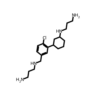 NCCCNCc1ccc(Cl)c(C2CCCC(NCCCN)C2)c1